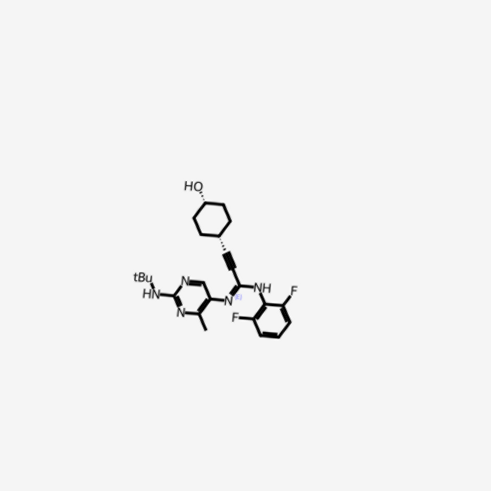 Cc1nc(NC(C)(C)C)ncc1/N=C(\C#C[C@H]1CC[C@@H](O)CC1)Nc1c(F)cccc1F